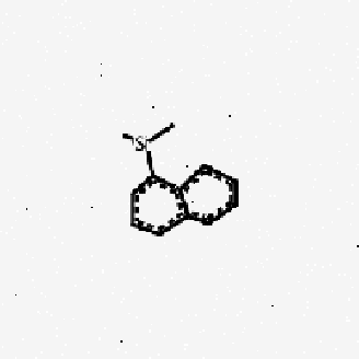 C[Si](C)c1cccc2ccccc12